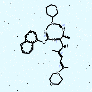 C=C1/N=C\N(C2CCCCC2)C/N=C(Oc2cccc3ccccc23)\N=C/1N/C(C)=C/C=C(\C)N1CCOCC1